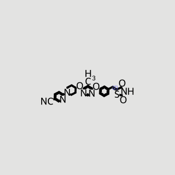 Cc1c(Oc2cccc(/C=C3\SC(=O)NC3=O)c2)ncnc1OC1CCN(c2ccc(C#N)cn2)CC1